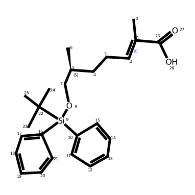 C/C(=C\CC[C@H](C)CO[Si](c1ccccc1)(c1ccccc1)C(C)(C)C)C(=O)O